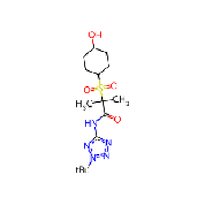 CC(C)(C)n1nnc(NC(=O)C(C)(C)S(=O)(=O)C2CCC(O)CC2)n1